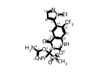 CCCC(OC(N)=O)(n1c(=O)[nH]c2cc(C(F)(F)F)c(-c3ccnn3CC)cc2c1=O)S(C)(=O)=O